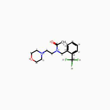 CC(=O)N(CCN1CCOCC1)Cc1ccccc1C(F)(F)F